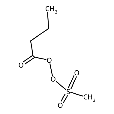 CCCC(=O)OOS(C)(=O)=O